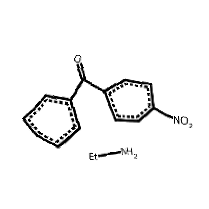 CCN.O=C(c1ccccc1)c1ccc([N+](=O)[O-])cc1